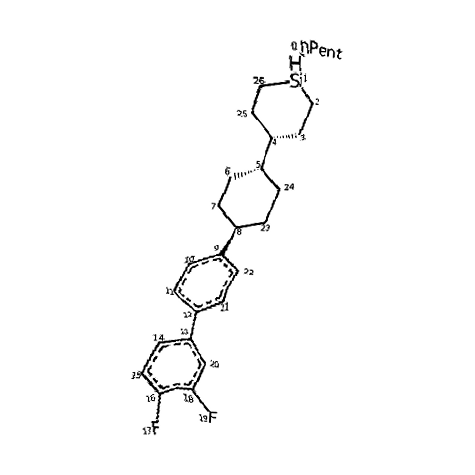 CCCCC[Si@H]1CC[C@H]([C@H]2CC[C@H](c3ccc(-c4ccc(F)c(F)c4)cc3)CC2)CC1